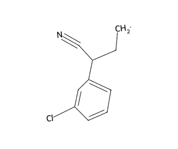 [CH2]CC(C#N)c1cccc(Cl)c1